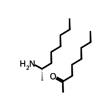 CCCCCCC(C)=O.CCCCCC[C@H](C)N